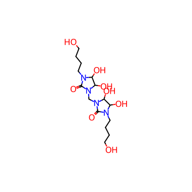 O=C1N(CCCCO)C(O)C(O)N1CN1C(=O)N(CCCCO)C(O)C1O